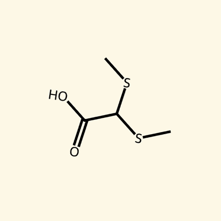 CSC(SC)C(=O)O